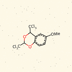 COc1ccc2c(c1)C(C(Cl)(Cl)Cl)OC(C(Cl)(Cl)Cl)O2